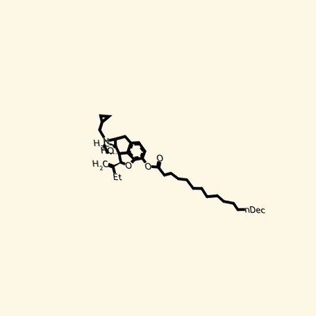 C=C(CC)[C@@H]1Oc2c(OC(=O)CCCCCCCCCCCCCCCCCCCCC)ccc3c2[C@@]12CCN(CC1CC1)C(C3)[C@@]2(C)O